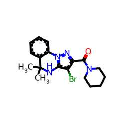 CC1(C)Nc2c(Br)c(C(=O)N3CCCCC3)nn2-c2ccccc21